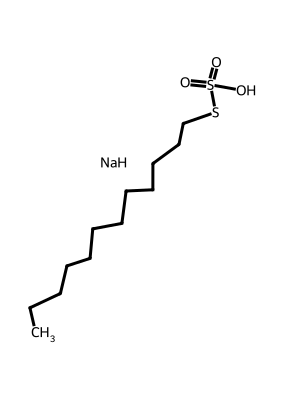 CCCCCCCCCCCCSS(=O)(=O)O.[NaH]